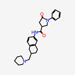 O=C(Nc1ccc2c(c1)CCC(CN1CCCCC1)C2)C1CC(=O)N(c2ccccc2)C1